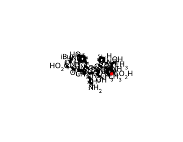 CC[C@H](C)[C@H](N)C(=O)N[C@@H](CC(=O)O)C(=O)N[C@@H](C)C(=O)N[C@@H](Cc1ccc(O)cc1)C(=O)N[C@@H](CCCCN)C(=O)N[C@H](C(=O)N[C@@H](Cc1ccccc1)C(=O)N1CCC[C@H]1C(=O)N[C@H](C(=O)N[C@H](C(=O)O)[C@@H](C)O)[C@@H](C)O)[C@@H](C)O